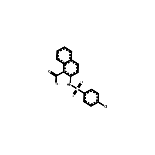 O=C(O)c1c(NS(=O)(=O)c2ccc(Cl)cc2)ccc2ccccc12